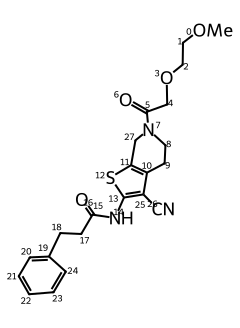 COCCOCC(=O)N1CCc2c(sc(NC(=O)CCc3ccccc3)c2C#N)C1